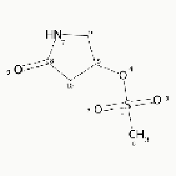 CS(=O)(=O)OC1CNC(=O)C1